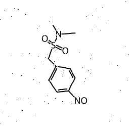 CN(C)S(=O)(=O)Cc1ccc(N=O)cc1